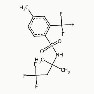 Cc1ccc(S(=O)(=O)NC(C)(C)CC(F)(F)F)c(C(F)(F)F)c1